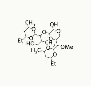 CCC1CC(C)OC(C(OC2OC(C(OC)C3OC(C)CC(CC)O3)COC2O)C(C)CO)O1